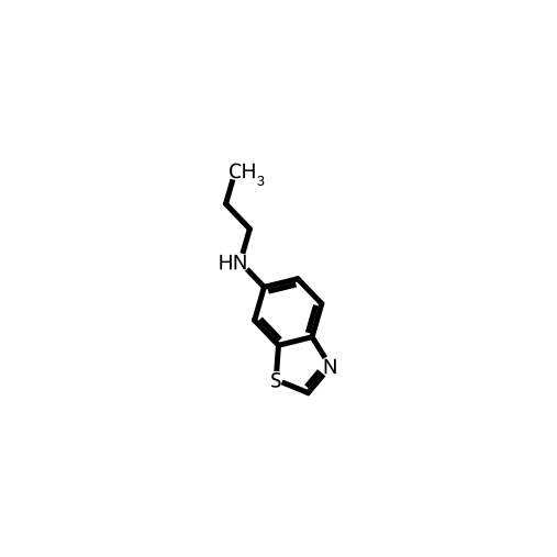 CCCNc1ccc2ncsc2c1